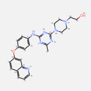 Cc1nc(Nc2ccc(Oc3ccc4cccnc4c3)cc2)nc(N2CCN(CCO)CC2)n1